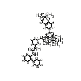 CC(Cc1cccc(NC(=O)Nc2ccccc2-c2ccccc2)c1)NC[C@@H](O[Si](C)(C)C(C)(C)C)c1ccc2c(c1)COC(C)(C)O2